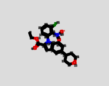 CCOC(=O)c1cc2cc(C3CCOCC3)ccc2n1-c1cccc(F)c1[N+](=O)[O-]